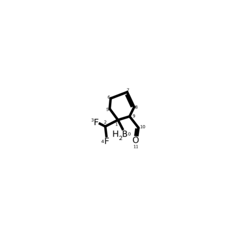 BC1(C(F)F)CCC=CC1C=O